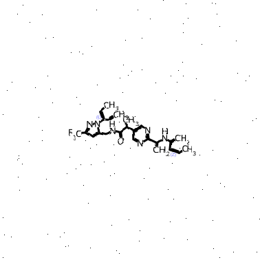 C=C/C(=C\C)n1nc(C(F)(F)F)cc1CNC(=O)C(C)c1cnc(C(=C)NC(=C)/C=C\C)nc1